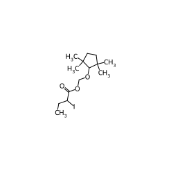 CCC(I)C(=O)OCOC1C(C)(C)CCC1(C)C